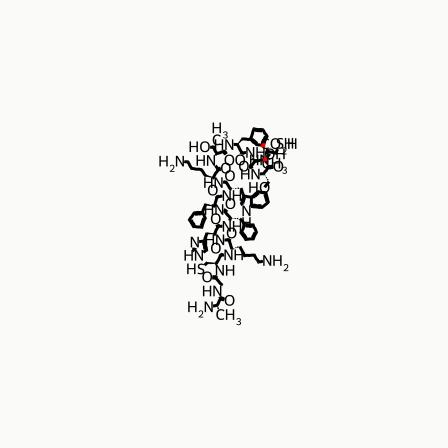 CC(O)[C@H](NC(=O)[C@H](Cc1ccccc1)NC(=O)[C@@H](NC(=O)[C@H](CCCCN)NC(=O)[C@H](Cc1c[nH]c2ccccc12)NC(=O)[C@H](Cc1ccccc1)NC(=O)[C@H](Cc1ccccc1)NC(=O)[C@H](Cc1c[nH]cn1)NC(=O)[C@H](CCCCN)NC(=O)[C@H](CS)NC(=O)CNC(=O)[C@H](C)N)C(C)O)C(=O)N[C@@H](CO)C(=O)N[C@@H](CS)C(=O)O